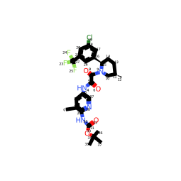 Cc1cc(NC(=O)C(=O)N2C[C@@H](C)CC[C@@H]2c2cc(Cl)cc(C(F)(F)F)c2)cnc1NC(=O)OC(C)(C)C